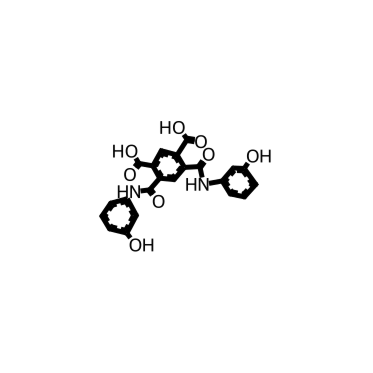 O=C(O)c1cc(C(=O)O)c(C(=O)Nc2cccc(O)c2)cc1C(=O)Nc1cccc(O)c1